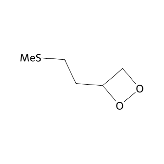 CSCCC1COO1